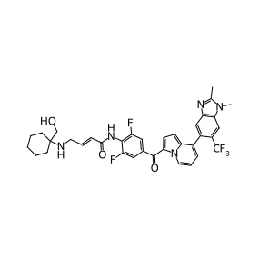 Cc1nc2cc(-c3cccn4c(C(=O)c5cc(F)c(NC(=O)/C=C/CNC6(CO)CCCCC6)c(F)c5)ccc34)c(C(F)(F)F)cc2n1C